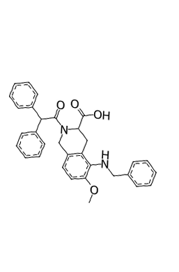 COc1ccc2c(c1NCc1ccccc1)CC(C(=O)O)N(C(=O)C(c1ccccc1)c1ccccc1)C2